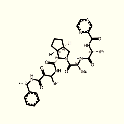 CCCC(NC(=O)[C@@H]1[C@H]2CCC[C@H]2CN1C(=O)[C@@H](NC(=O)[C@H](NC(=O)c1cnccn1)C(C)C)C(C)(C)C)C(=O)C(=O)N[C@@H](C)c1ccccc1